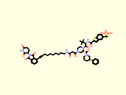 CC(C)(C)[C@H](NC(=O)c1cc2cc(C(F)(F)P(=O)(O)O)ccc2s1)C(=O)N1CCN(C(=O)CC(=O)NCCCCCCCCC#Cc2cccc3c2C(=O)N(C2CCC(=O)NC2=O)C3=O)C[C@H]1C(=O)N1CCC[C@H](c2ccccc2)C1